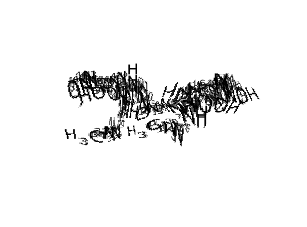 CCn1cnc(CCNc2nc(N[C@@H]3CCN(C(=O)N4CC[C@@H](Nc5nc(NCCc6cn(CC)cn6)nc6c5ncn6[C@@H]5C[C@H](n6ncc(CO)n6)[C@@H](O)[C@H]5O)C4)C3)c3ncn([C@@H]4C[C@H](n5ncc(CO)n5)[C@@H](O)[C@H]4O)c3n2)c1